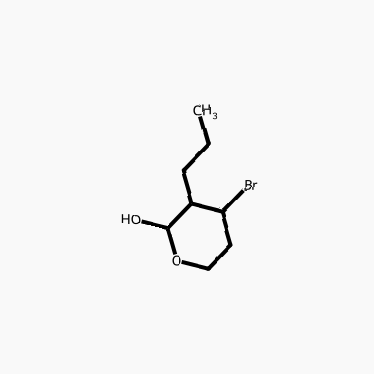 CCCC1C(Br)CCOC1O